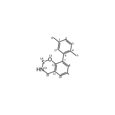 Cc1ccc(C)c(-c2cccc3c2OSNC3)c1